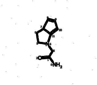 NC(=O)CN1CCC2C=CC=C21